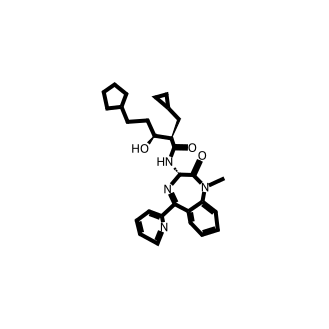 CN1C(=O)[C@@H](NC(=O)[C@H](CC2CC2)[C@@H](O)CCC2CCCC2)N=C(c2ccccn2)c2ccccc21